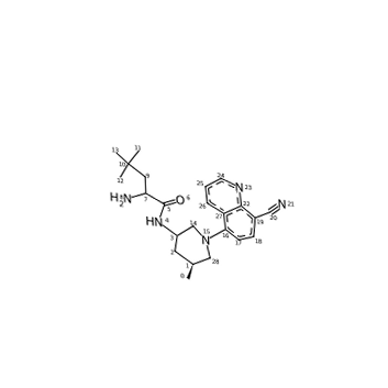 C[C@H]1CC(NC(=O)C(N)CC(C)(C)C)CN(c2ccc(C#N)c3ncccc23)C1